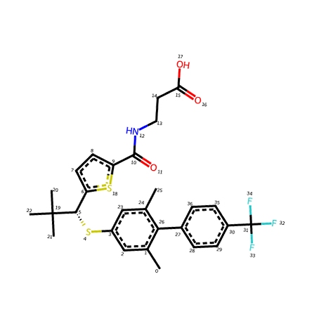 Cc1cc(S[C@@H](c2ccc(C(=O)NCCC(=O)O)s2)C(C)(C)C)cc(C)c1-c1ccc(C(F)(F)F)cc1